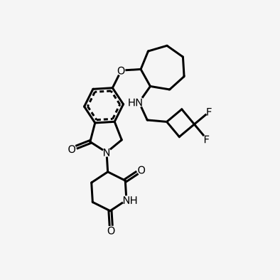 O=C1CCC(N2Cc3cc(OC4CCCCCC4NCC4CC(F)(F)C4)ccc3C2=O)C(=O)N1